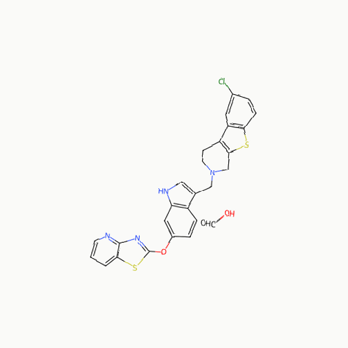 Clc1ccc2sc3c(c2c1)CCN(Cc1c[nH]c2cc(Oc4nc5ncccc5s4)ccc12)C3.O=CO